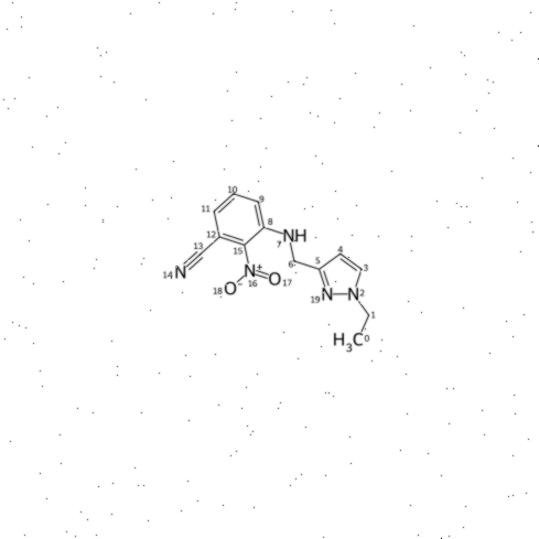 CCn1ccc(CNc2cccc(C#N)c2[N+](=O)[O-])n1